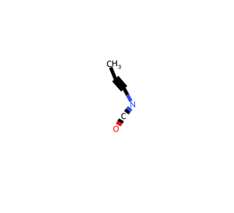 CC#CN=C=O